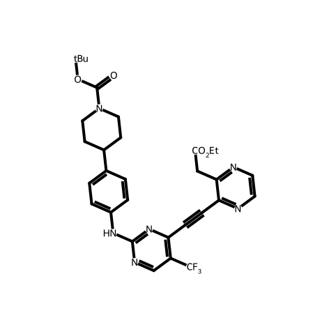 CCOC(=O)Cc1nccnc1C#Cc1nc(Nc2ccc(C3CCN(C(=O)OC(C)(C)C)CC3)cc2)ncc1C(F)(F)F